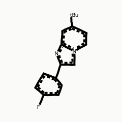 CC(C)(C)c1ccn2cc(-c3ccc(F)cc3)nc2c1